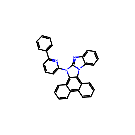 c1ccc(-c2cccc(-n3c4c5ccccc5c5ccccc5c4n4c5ccccc5nc34)n2)cc1